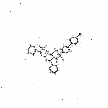 CS(=O)(=O)N(CCSC(c1ccccc1)C(NS(=O)(=O)c1ccc(-c2ccc(Br)cc2)cc1)C(=O)O)c1cccnc1